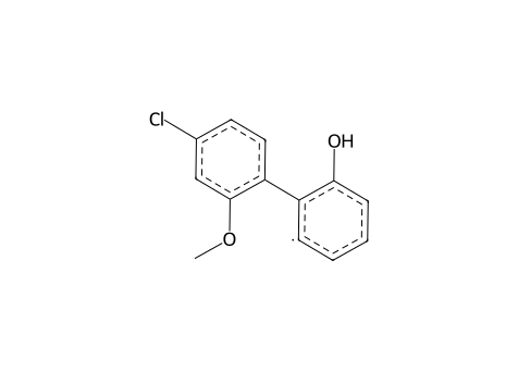 COc1cc(Cl)ccc1-c1[c]cccc1O